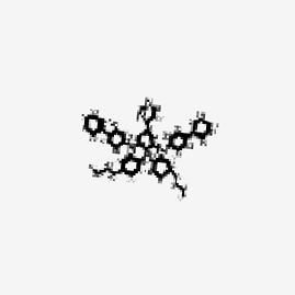 CCCCc1ccc2c(c1)N(c1ccc(-c3ccccc3)cc1)c1cc(-c3ccncn3)cc3c1B2c1ccc(CCCC)cc1N3c1ccc(-c2ccccc2)cc1